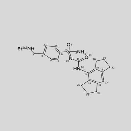 CCNCc1ccc(S(N)(=O)=NC(=O)Nc2c3c(cc4c2CCC4)CCC3)cc1